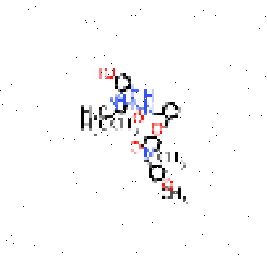 COc1ccc(Cn2c(C)cc(OCc3ccccc3CNC(=O)Nc3cc(C(C)(C)C)nn3-c3cccc(O)c3)cc2=O)cc1